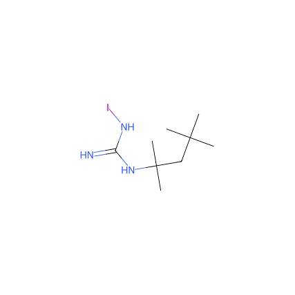 CC(C)(C)CC(C)(C)NC(=N)NI